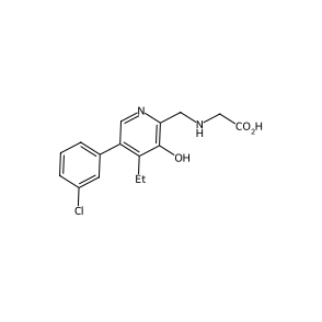 CCc1c(-c2cccc(Cl)c2)cnc(CNCC(=O)O)c1O